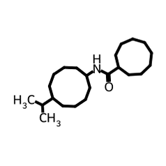 CC(C)C1CCCCC(NC(=O)C2CCCCCCCC2)CCCC1